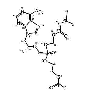 CC(=O)SCCO[P@](=O)(CO[C@H](C)Cn1cnc2c(N)ncnc21)OCOC(=O)OC(C)C